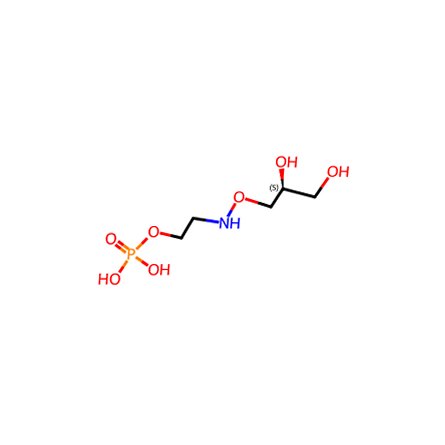 O=P(O)(O)OCCNOC[C@@H](O)CO